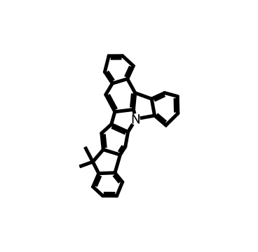 CC1(C)c2ccccc2-c2cc3c(cc21)c1cc2ccccc2c2c4ccccc4n3c12